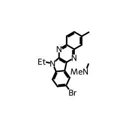 CCn1c2ccc(Br)cc2c2nc3cc(C)ccc3nc21.CNC